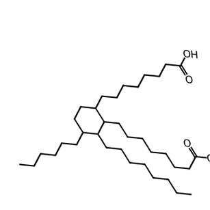 CCCCCCCCC1C(CCCCCC)CCC(CCCCCCCC(=O)O)C1CCCCCCCC(=O)O